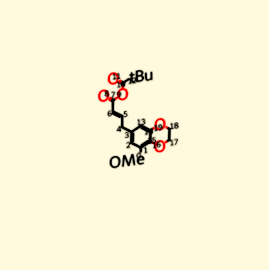 COc1cc(CC=CC(=O)OC(=O)C(C)(C)C)cc2c1OCCO2